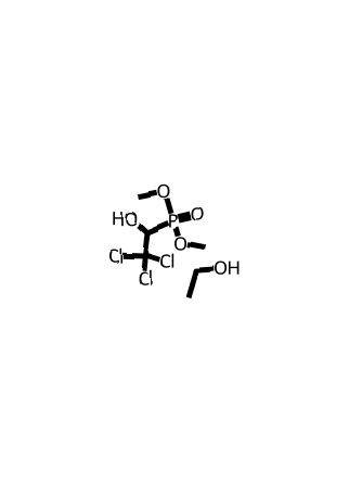 CCO.COP(=O)(OC)C(O)C(Cl)(Cl)Cl